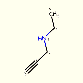 [C]#CCNCC